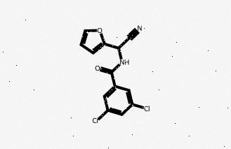 N#CC(NC(=O)c1cc(Cl)cc(Cl)c1)c1ccco1